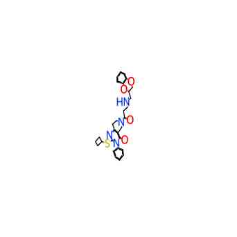 O=C(CCNCC1COc2ccccc2O1)N1CCc2nc(SC3CCC3)n(-c3ccccc3)c(=O)c2C1